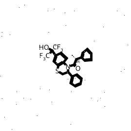 C[C@@H](C(=O)N1c2ccc(C(O)(C(F)(F)F)C(F)(F)F)cc2SCC1c1ccccc1)c1ccccc1